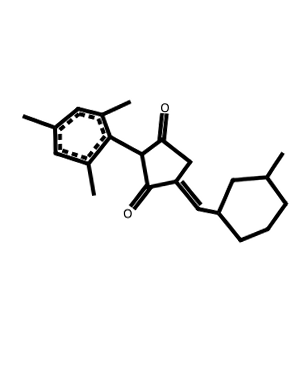 Cc1cc(C)c(C2C(=O)C/C(=C\C3CCCC(C)C3)C2=O)c(C)c1